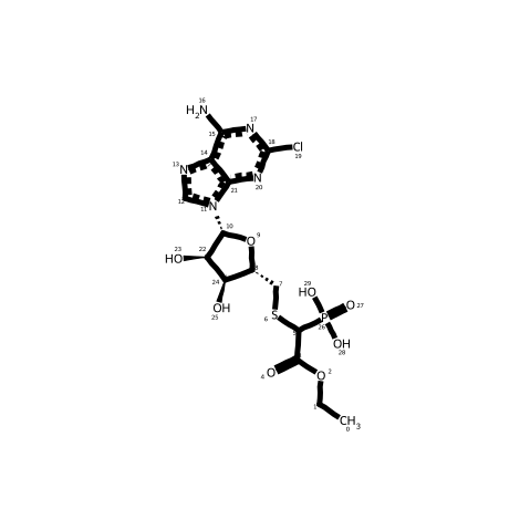 CCOC(=O)C(SC[C@H]1O[C@@H](n2cnc3c(N)nc(Cl)nc32)[C@H](O)[C@@H]1O)P(=O)(O)O